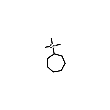 [CH3][Sn]([CH3])([CH3])[CH]1CCCCCC1